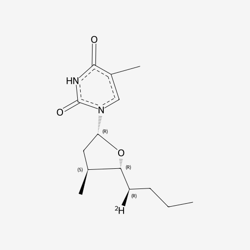 [2H][C@H](CCC)[C@H]1O[C@@H](n2cc(C)c(=O)[nH]c2=O)C[C@@H]1C